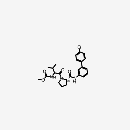 COC(=O)NC(C(=O)N1CCC[C@H]1C(=O)Nc1cccc(-c2ccc(Cl)cc2)c1)C(C)C